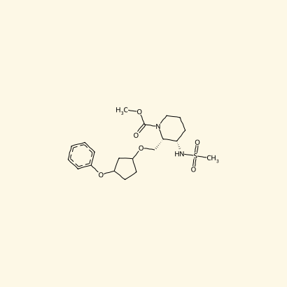 COC(=O)N1CCC[C@H](NS(C)(=O)=O)[C@@H]1COC1CCC(Oc2ccccc2)C1